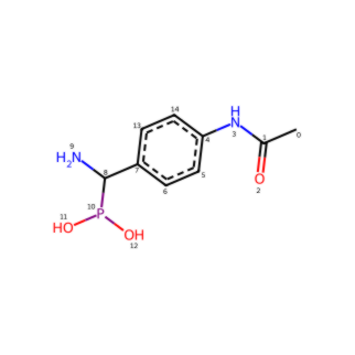 CC(=O)Nc1ccc(C(N)P(O)O)cc1